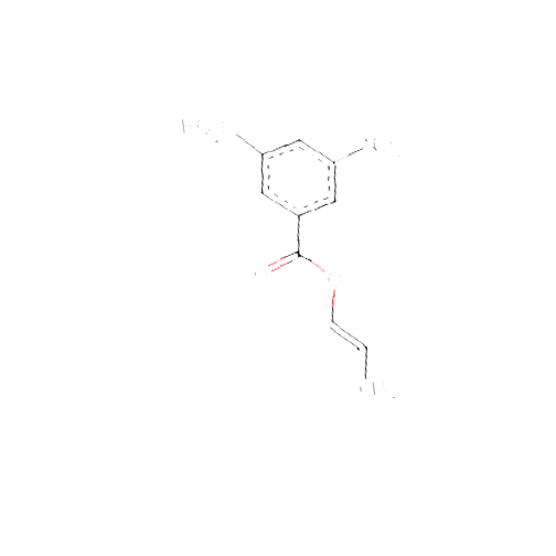 CC=COC(=O)c1cc(C(=O)O)cc([N+](=O)[O-])c1